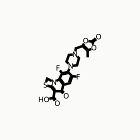 Cc1oc(=O)oc1CN1CCN(c2c(F)cc3c(=O)c(C(=O)O)c4n(c3c2F)CS4)CC1